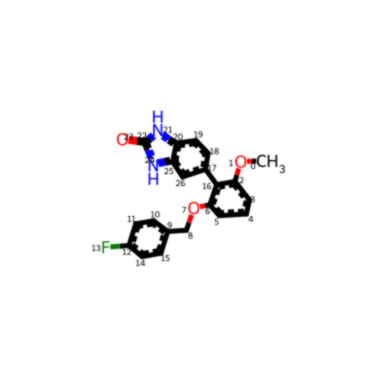 COc1cccc(OCc2ccc(F)cc2)c1-c1ccc2[nH]c(=O)[nH]c2c1